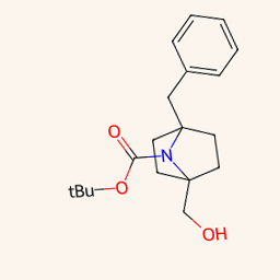 CC(C)(C)OC(=O)N1C2(CO)CCC1(Cc1ccccc1)CC2